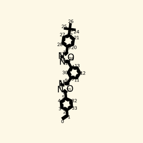 C=Cc1ccc(-c2nnc(-c3cccc(-c4nnc(-c5ccc(C(C)(C)C)cc5)o4)c3)o2)cc1